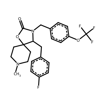 CN1CCC2(CC1)OC(=O)N(Cc1ccc(OC(F)(F)F)cc1)C2Cc1ccc(F)cc1